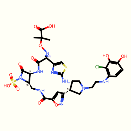 CC(C)(O/N=C(\C(=O)N[C@@H]1C(=O)N(S(=O)(=O)O)[C@@H]1CNC(=O)c1cc([C@@H]2CCN(CCNc3ccc(O)c(O)c3Cl)C2)no1)c1csc(N)n1)C(=O)O